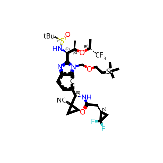 C[C@@H](O[C@H](C)C(F)(F)F)[C@H](N[S@+]([O-])C(C)(C)C)c1nc2ccc([C@H](NC(=O)C[C@H]3CC3(F)F)C3(C#N)CC3)cc2n1COCC[Si](C)(C)C